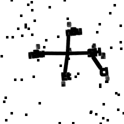 CCCCC(CC)(CCCC)[SiH2]Cl